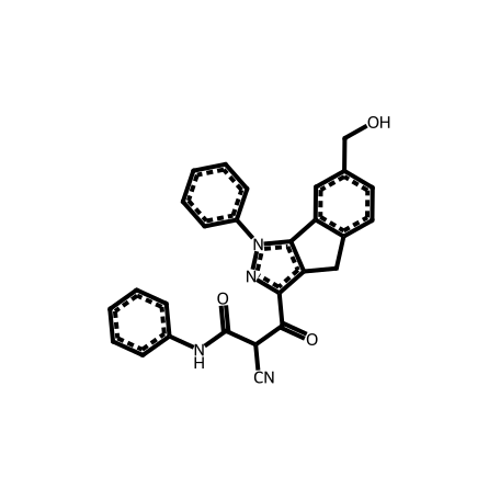 N#CC(C(=O)Nc1ccccc1)C(=O)c1nn(-c2ccccc2)c2c1Cc1ccc(CO)cc1-2